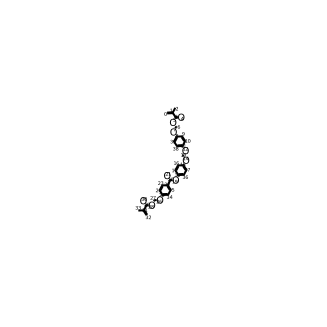 C=C(C)C(=O)OCOc1ccc(OCOc2ccc(OC(=O)c3ccc(OCOC(=O)C(=C)C)cc3)cc2)cc1